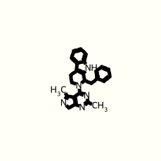 CC1=NCc2nc(C)nc(N3CCc4c([nH]c5ccccc45)C3Cc3ccccc3)c21